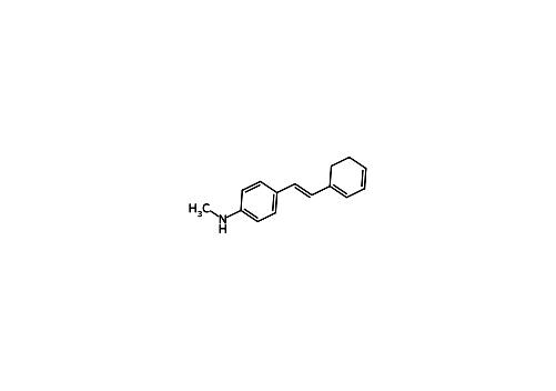 CNc1ccc(/C=C/C2=CC=CCC2)cc1